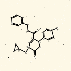 O=C(OCc1ccccc1)C1=CN(CC2CC2)C(=O)CC1c1ccc(Cl)cc1